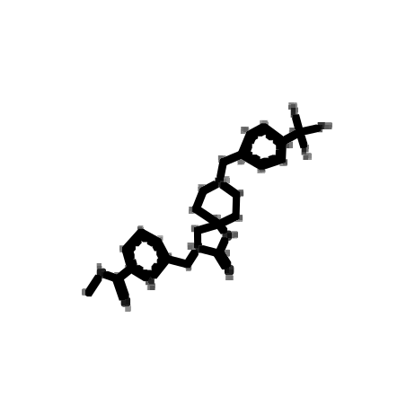 COC(=O)c1cccc(CN2CC3(CCN(Cc4ccc(C(F)(F)F)cc4)CC3)OC2=O)n1